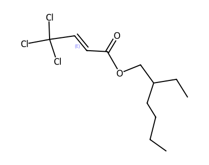 CCCCC(CC)COC(=O)/C=C/C(Cl)(Cl)Cl